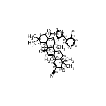 CC1(C)CC[C@]2(C(=O)n3cnc(-c4cnccc4I)c3)CC[C@]3(C)[C@H](C(=O)C=C4[C@@]5(C)C=C(C#N)C(=O)C(C)(C)C5CC[C@]43C)C2C1